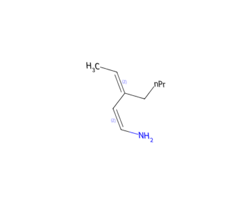 C/C=C(\C=C/N)CCCC